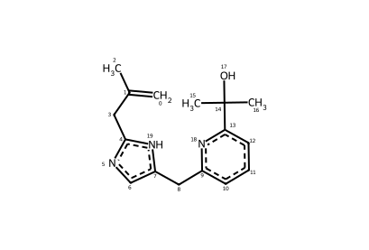 C=C(C)Cc1ncc(Cc2cccc(C(C)(C)O)n2)[nH]1